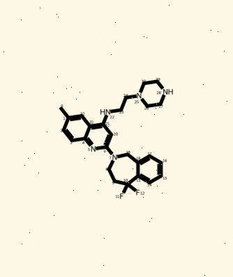 Cc1ccc2nc(N3CCC(F)(F)c4ccccc4C3)cc(NCCN3CCNCC3)c2c1